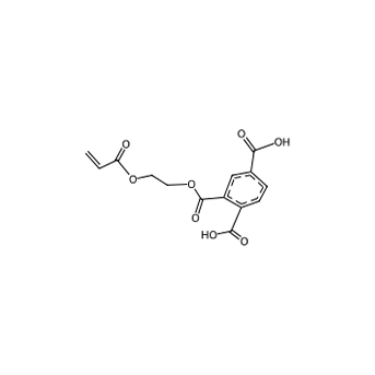 C=CC(=O)OCCOC(=O)c1cc(C(=O)O)ccc1C(=O)O